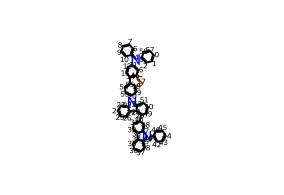 c1ccc(N(c2ccccc2)c2ccc3c(c2)sc2cc(-n4c5ccccc5c5c(-c6ccc7c8ccccc8n(-c8ccccc8)c7c6)cccc54)ccc23)cc1